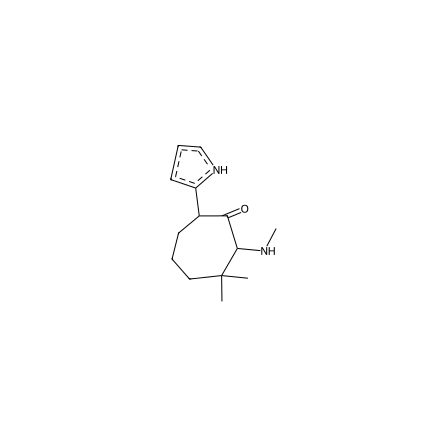 CNC1C(=O)C(c2ccc[nH]2)CCCC1(C)C